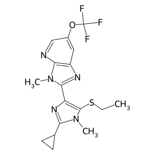 CCSc1c(-c2nc3cc(OC(F)(F)F)cnc3n2C)nc(C2CC2)n1C